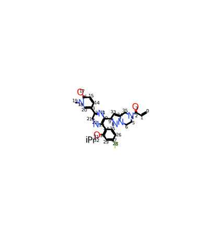 C=CC(=O)N1CCn2nc(-c3nc(-c4ccc(=O)n(C)c4)cnc3-c3ccc(F)cc3OC(C)C)cc2C1